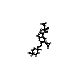 CC1(OCc2cc3nnc(NS(=O)(=O)C4CC4)n3cc2C2CC2)CCC(F)(F)CC1